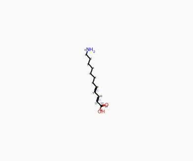 NCCCCCCC/C=C/C=C/C(=O)O